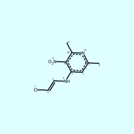 Cc1cc(NC=CCl)c([N+](=O)[O-])c(C)n1